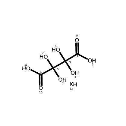 O=C(O)C(O)(O)C(O)(O)C(=O)O.[KH]